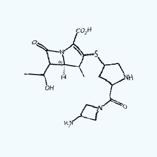 CC(O)C1C(=O)N2C(C(=O)O)=C(SC3CNC(C(=O)N4CC(N)C4)C3)C(C)[C@@H]12